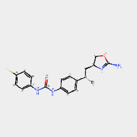 CC[C@@H](C[C@H]1COC(N)=N1)c1ccc(NC(=O)Nc2ccc(F)cc2)cc1